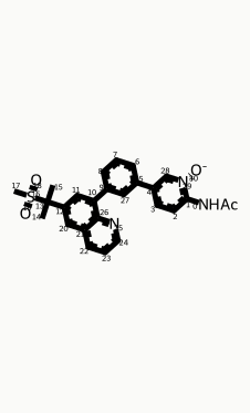 CC(=O)Nc1ccc(-c2cccc(-c3cc(C(C)(C)S(C)(=O)=O)cc4cccnc34)c2)c[n+]1[O-]